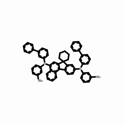 CC(C)(C)c1cccc(N(c2cccc(-c3ccccc3)c2)c2ccc3c(c2)C2(CCCCC2)c2cc(N(c4cccc(-c5ccccc5)c4)c4cccc(C(C)(C)C)c4)c4ccccc4c2-3)c1